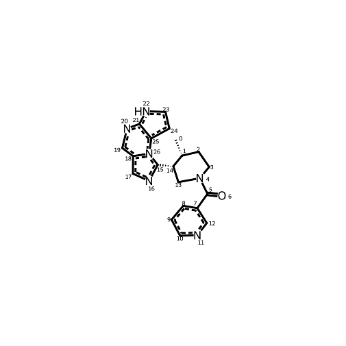 C[C@@H]1CCN(C(=O)c2cccnc2)C[C@@H]1c1ncc2cnc3[nH]ccc3n12